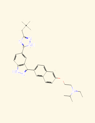 CCN(CCOc1ccc2cc(-c3n[nH]c4ccc(-c5nc(CC(C)(C)C)n[nH]5)cc34)ccc2c1)C(C)C